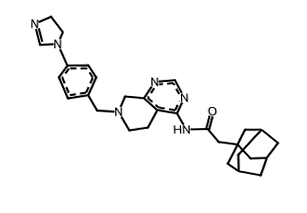 O=C(CC12CC3CC(CC(C3)C1)C2)Nc1ncnc2c1CCN(Cc1ccc(N3C=NCC3)cc1)C2